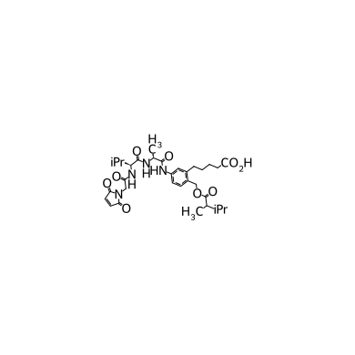 CC(C)C(C)C(=O)OCc1ccc(NC(=O)[C@H](C)NC(=O)[C@@H](NC(=O)CN2C(=O)C=CC2=O)C(C)C)cc1CCCCC(=O)O